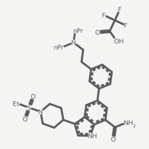 CCCN(CCC)CCc1cccc(-c2cc(C(N)=O)c3[nH]cc(C4CCN(S(=O)(=O)CC)CC4)c3c2)c1.O=C(O)C(F)(F)F